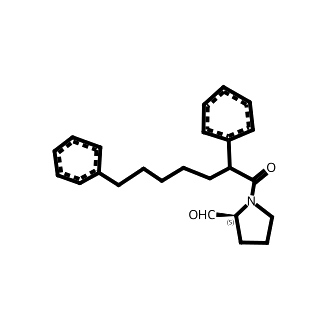 O=C[C@@H]1CCCN1C(=O)C(CCCCCc1ccccc1)c1ccccc1